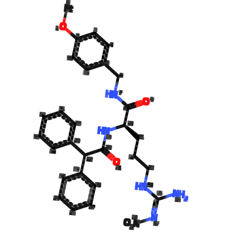 CCOc1ccc(CNC(=O)[C@@H](CCCN/C(N)=N\[N+](=O)[O-])NC(=O)C(c2ccccc2)c2ccccc2)cc1